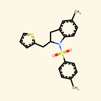 Cc1ccc(S(=O)(=O)N2c3ccc(C)cc3CC2Cc2cccs2)cc1